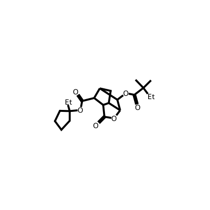 CCC1(OC(=O)C2C3CC4C(OC(=O)C42)C3OC(=O)C(C)(C)CC)CCCC1